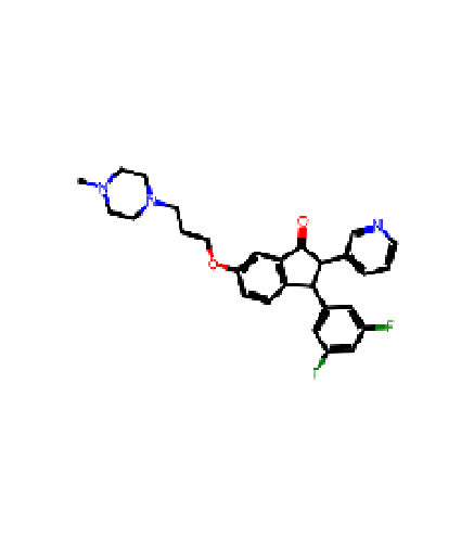 CN1CCN(CCCOc2ccc3c(c2)C(=O)C(c2cccnc2)C3c2cc(F)cc(F)c2)CC1